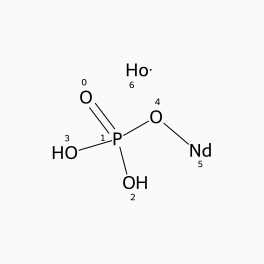 O=P(O)(O)[O][Nd].[Ho]